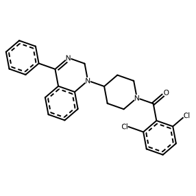 O=C(c1c(Cl)cccc1Cl)N1CCC(N2CN=C(c3ccccc3)c3ccccc32)CC1